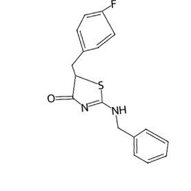 O=C1N=C(NCc2ccccc2)SC1Cc1ccc(F)cc1